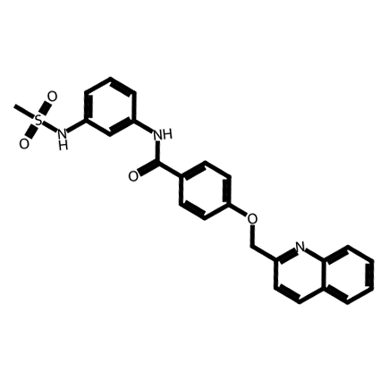 CS(=O)(=O)Nc1cccc(NC(=O)c2ccc(OCc3ccc4ccccc4n3)cc2)c1